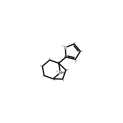 c1coc(C23CCCC(CC2)N3)c1